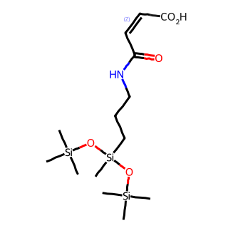 C[Si](C)(C)O[Si](C)(CCCNC(=O)/C=C\C(=O)O)O[Si](C)(C)C